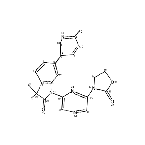 Cc1ncc(-c2ccc3c(c2)N(c2cncc(N4CCOC4=O)n2)C(=O)C3(C)C)cn1